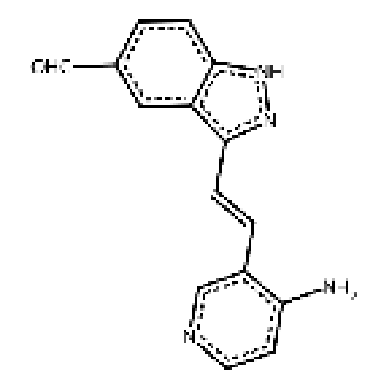 Nc1ccncc1/C=C/c1n[nH]c2ccc(C=O)cc12